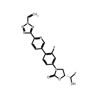 C=Cn1nnc(-c2ccc(-c3ccc(N4C[C@H](C(O)F)OC4=O)cc3F)cn2)n1